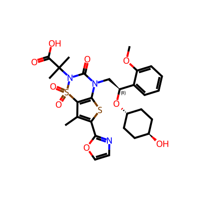 COc1ccccc1[C@H](CN1C(=O)N(C(C)(C)C(=O)O)S(=O)(=O)c2c1sc(-c1ncco1)c2C)O[C@H]1CC[C@H](O)CC1